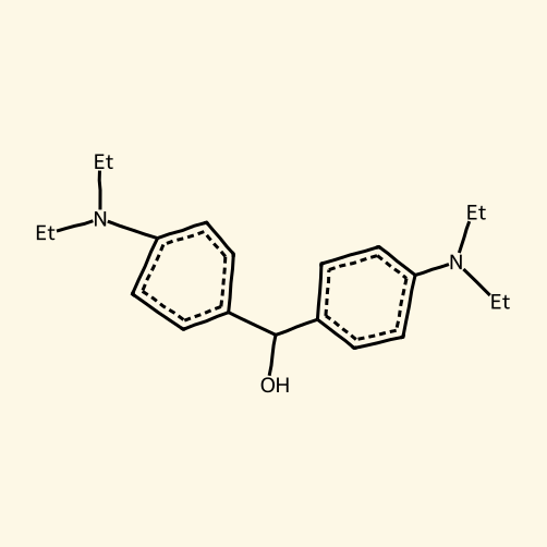 CCN(CC)c1ccc(C(O)c2ccc(N(CC)CC)cc2)cc1